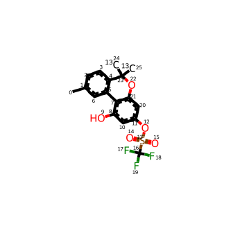 Cc1ccc2c(c1)-c1c(O)cc(OS(=O)(=O)C(F)(F)F)cc1OC2([13CH3])[13CH3]